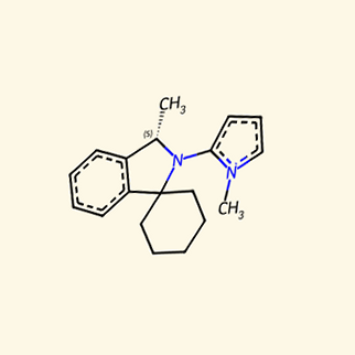 C[C@H]1c2ccccc2C2(CCCCC2)N1c1cccn1C